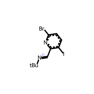 CC(C)(C)/N=C/c1nc(Br)ccc1I